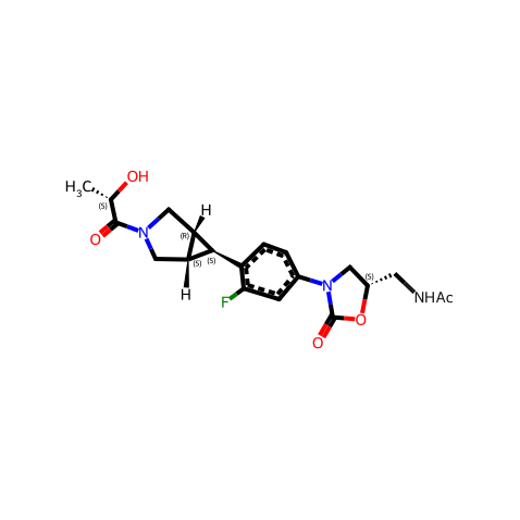 CC(=O)NC[C@H]1CN(c2ccc([C@H]3[C@@H]4CN(C(=O)[C@H](C)O)C[C@@H]43)c(F)c2)C(=O)O1